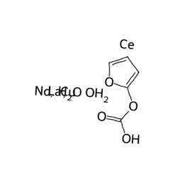 O.O.O=C(O)Oc1ccco1.[Ce].[Cu].[La].[Nd]